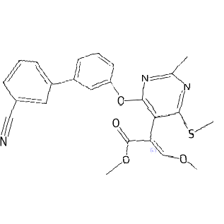 CO/C=C(/C(=O)OC)c1c(Oc2cccc(-c3cccc(C#N)c3)c2)nc(C)nc1SC